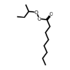 CCCCCCCC(=O)OOC(C)CC